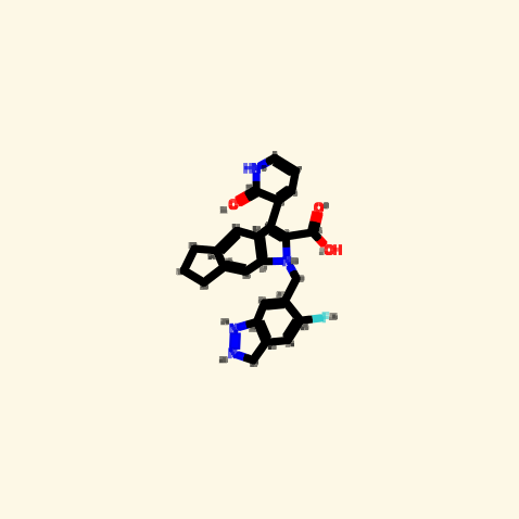 O=C(O)c1c(-c2ccc[nH]c2=O)c2cc3c(cc2n1Cc1cc2c(cc1F)CN=N2)CCC3